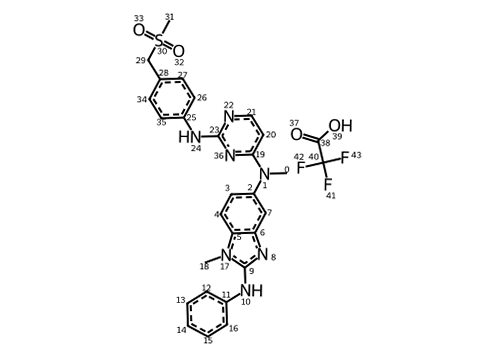 CN(c1ccc2c(c1)nc(Nc1ccccc1)n2C)c1ccnc(Nc2ccc(CS(C)(=O)=O)cc2)n1.O=C(O)C(F)(F)F